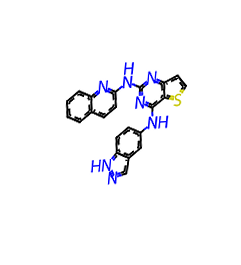 c1ccc2nc(Nc3nc(Nc4ccc5[nH]ncc5c4)c4sccc4n3)ccc2c1